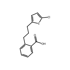 O=C(O)c1ccccc1CCCc1ccc(Cl)s1